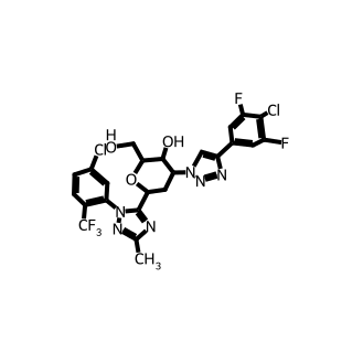 Cc1nc(C2CC(n3cc(-c4cc(F)c(Cl)c(F)c4)nn3)C(O)C(CO)O2)n(-c2cc(Cl)ccc2C(F)(F)F)n1